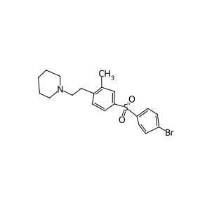 Cc1cc(S(=O)(=O)c2ccc(Br)cc2)ccc1CCN1CCCCC1